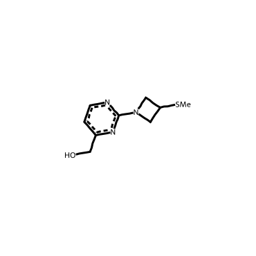 CSC1CN(c2nccc(CO)n2)C1